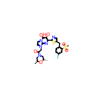 C[C@H]1CN(C(=O)Cn2ccn3c(=O)c(O)c(-c4ncc(Cc5ccc(F)cc5S(C)(=O)=O)s4)nc23)C[C@H](C)O1